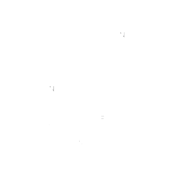 Fc1ccccc1-c1cc(-c2cccnc2)ccn1